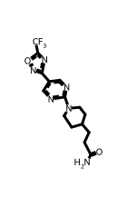 NC(=O)CCC1CCN(c2ncc(-c3noc(C(F)(F)F)n3)cn2)CC1